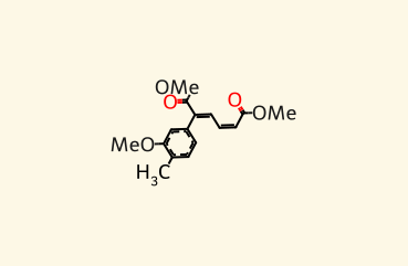 COC(=O)/C=C\C=C(\C(=O)OC)c1ccc(C)c(OC)c1